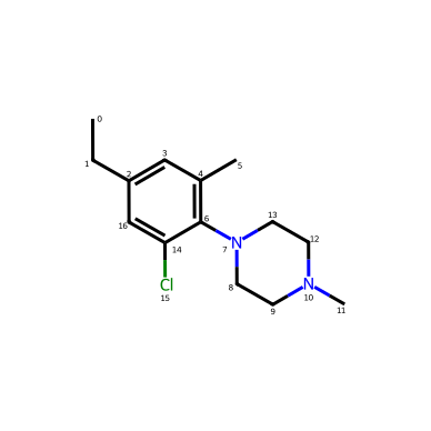 CCc1cc(C)c(N2CCN(C)CC2)c(Cl)c1